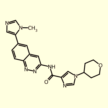 Cn1cncc1-c1ccc2nnc(NC(=O)c3cn(C4CCOCC4)cn3)cc2c1